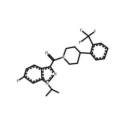 CC(C)n1nc(C(=O)N2CCC(c3ccccc3C(F)(F)F)CC2)c2ccc(F)cc21